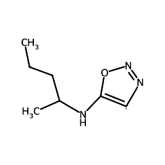 CCCC(C)Nc1[c]nno1